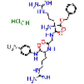 Cl.Cl.N=C(N)NCCC[C@H](NC(=O)CNC(=O)[C@](N)(CCCNC(=N)N)C(=O)OCc1ccccc1)C(=O)Nc1ccc([N+](=O)[O-])cc1